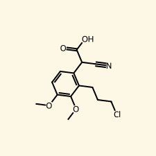 COc1ccc(C(C#N)C(=O)O)c(CCCCl)c1OC